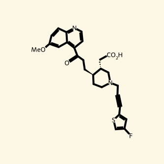 COc1ccc2nccc(C(=O)CC[C@@H]3CCN(CC#Cc4cc(F)cs4)C[C@H]3CC(=O)O)c2c1